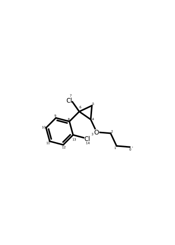 [CH2]CCOC1CC1(Cl)c1ccccc1Cl